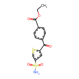 CCOC(=O)c1ccc(C(=O)c2cc(S(N)(=O)=O)cs2)cc1